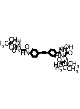 CC(C)(C)OC(=O)NCC(=O)Nc1ccc(C#Cc2ccc(C(=O)N[C@@H](CN(C(=O)O)C(C)(C)C)C(=O)NO)cc2)cc1